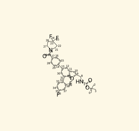 CC(C)(C)OC(=O)NCc1cc2cc(-c3ccc(C(=O)N4CCC(F)(F)CC4)cc3)cc(-c3ccc(F)cc3F)c2o1